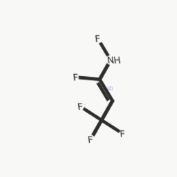 FN/C(F)=C/C(F)(F)F